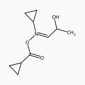 CC(O)C=[N+](OC(=O)C1CC1)C1CC1